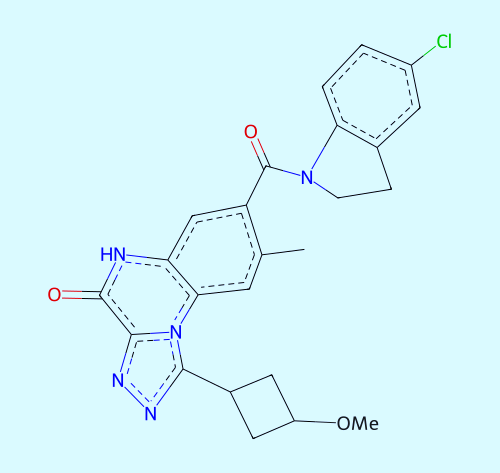 COC1CC(c2nnc3c(=O)[nH]c4cc(C(=O)N5CCc6cc(Cl)ccc65)c(C)cc4n23)C1